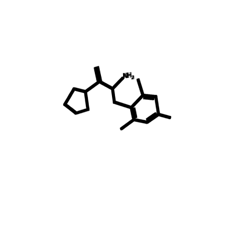 C=C(C(N)Cc1c(C)cc(C)cc1C)C1CCCC1